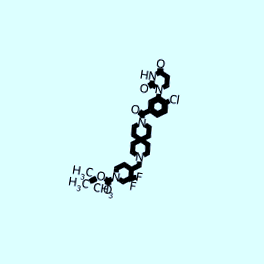 CC(C)(C)OC(=O)N1CCC(CN2CCC3(CC2)CCN(C(=O)c2ccc(Cl)c(N4CCC(=O)NC4=O)c2)CC3)C(F)(F)C1